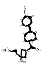 CNC1(CCC=O)CN(C(=O)c2ccc(-c3ccc(Cl)cc3)cc2)C1